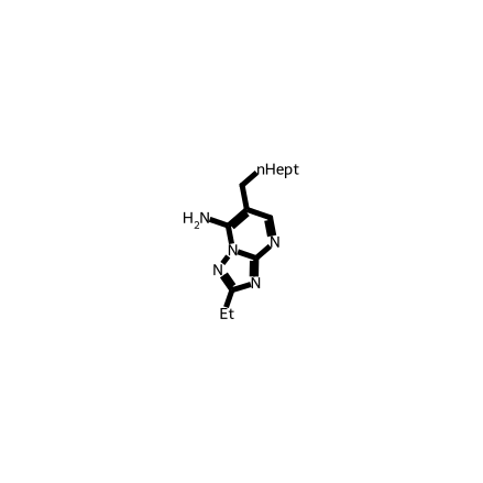 CCCCCCCCc1cnc2nc(CC)nn2c1N